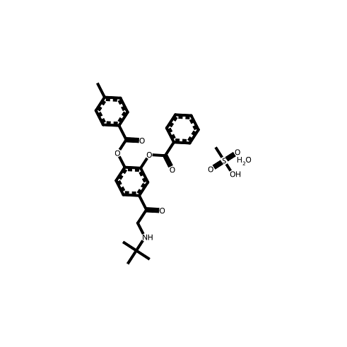 CS(=O)(=O)O.Cc1ccc(C(=O)Oc2ccc(C(=O)CNC(C)(C)C)cc2OC(=O)c2ccccc2)cc1.O